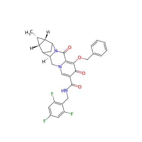 C[C@H]1[C@H]2C3CC([C@@H]12)N1C(=O)c2c(OCc4ccccc4)c(=O)c(C(=O)NCc4c(F)cc(F)cc4F)cn2C[C@@H]31